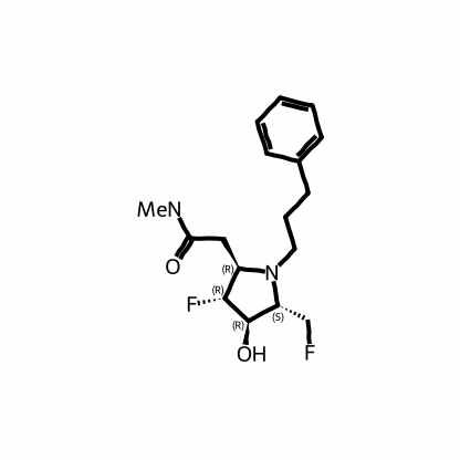 CNC(=O)C[C@@H]1[C@@H](F)[C@H](O)[C@@H](CF)N1CCCc1ccccc1